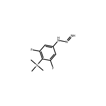 C[Si](C)(C)c1c(F)cc(NN=N)cc1F